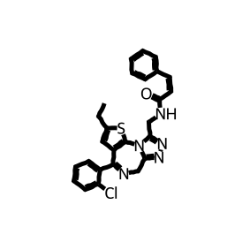 CCc1cc2c(s1)-n1c(nnc1CNC(=O)/C=C\c1ccccc1)CN=C2c1ccccc1Cl